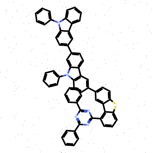 c1ccc(-c2nc(-c3ccccc3)nc(-c3cccc4sc5ccc(-c6ccc7c(c6)c6ccc(-c8ccc9c(c8)c8ccccc8n9-c8ccccc8)cc6n7-c6ccccc6)cc5c34)n2)cc1